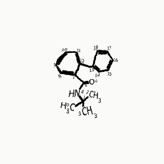 CC(C)(C)NC(=O)c1ccccc1-c1ccccc1